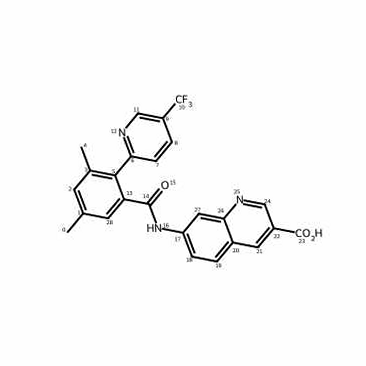 Cc1cc(C)c(-c2ccc(C(F)(F)F)cn2)c(C(=O)Nc2ccc3cc(C(=O)O)cnc3c2)c1